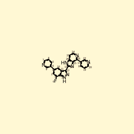 Fc1cc(-c2cccnc2)cc2c(-c3nc4c(-c5cccnc5)nccc4[nH]3)n[nH]c12